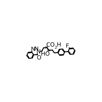 O=C(O)[C@@H](CCn1nnc2ccccc2c1=O)[C@H](O)CCc1ccc(-c2ccccc2F)cc1